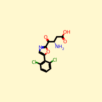 N[C@@H](CC(=O)O)C(=O)c1ncc(-c2c(Cl)cccc2Cl)o1